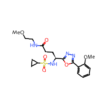 COCCNC(=O)CC[C@H](NS(=O)(=O)C1CC1)c1nnc(-c2ccccc2OC)o1